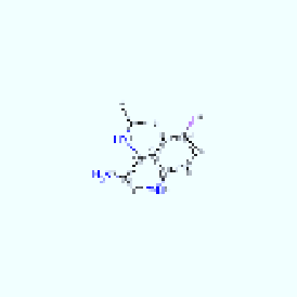 CC(C)Nc1c(N)cnc2ccc(I)cc12